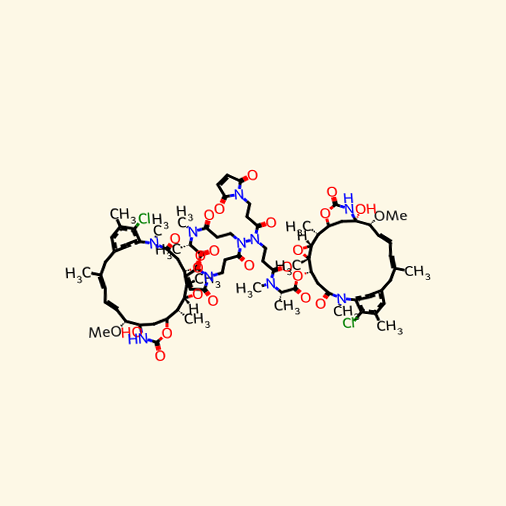 CO[C@@H]1/C=C/C=C(\C)Cc2cc(C)c(Cl)c(c2)N(C)C(=O)C[C@H](OC(=O)[C@H](C)N(C)C(=O)CCN(C(=O)CCN2C(=O)C=CC2=O)N(CCC(=O)N(C)[C@@H](C)C(=O)O[C@H]2CC(=O)N(C)c3cc(cc(C)c3Cl)C/C(C)=C/C=C/[C@@H](OC)[C@@]3(O)CC(OC(=O)N3)[C@@H](C)[C@H]3O[C@@]23C)C(=O)CCN2C(=O)C=CC2=O)[C@]2(C)O[C@@H]2[C@H](C)C2C[C@@]1(O)NC(=O)O2